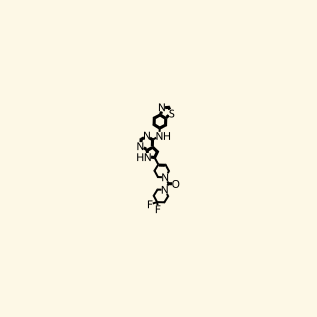 O=C(N1CC=C(c2cc3c(Nc4ccc5ncsc5c4)ncnc3[nH]2)CC1)N1CCC(F)(F)CC1